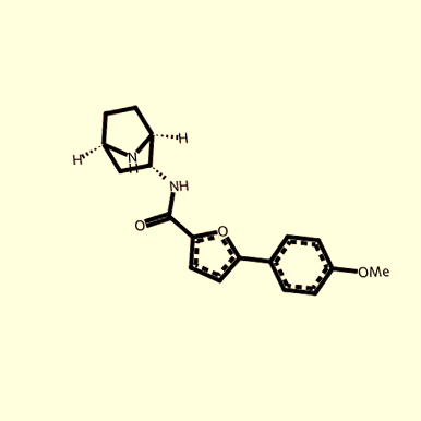 COc1ccc(-c2ccc(C(=O)N[C@@H]3C[C@H]4CC[C@@H]3N4)o2)cc1